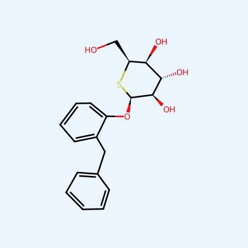 OC[C@@H]1S[C@H](Oc2ccccc2Cc2ccccc2)[C@H](O)[C@@H](O)[C@@H]1O